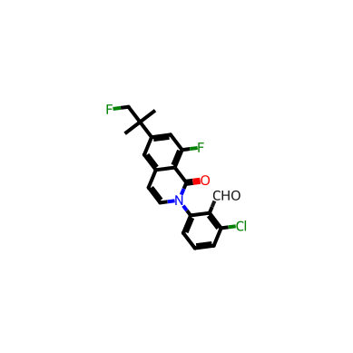 CC(C)(CF)c1cc(F)c2c(=O)n(-c3cccc(Cl)c3C=O)ccc2c1